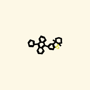 CC12CCCCC1(C)c1cc(-c3c4ccccc4c(-c4ccccc4)c4ccccc34)ccc1S2